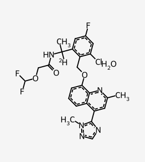 O.[2H]C(C)(NC(=O)COC(F)F)c1cc(F)cc(Cl)c1COc1cccc2c(-c3ncnn3C)cc(C)nc12